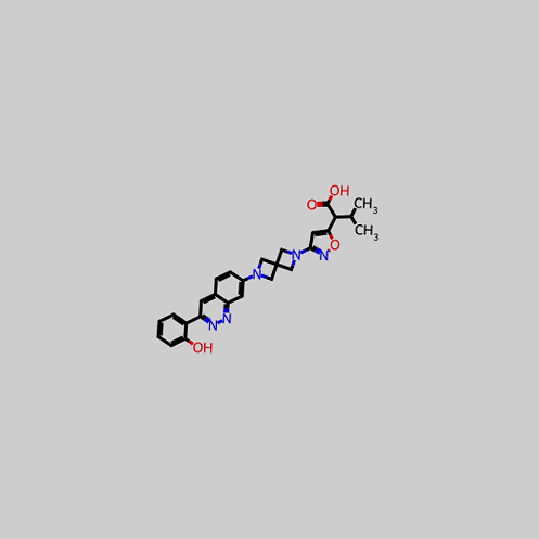 CC(C)C(C(=O)O)c1cc(N2CC3(CN(c4ccc5cc(-c6ccccc6O)nnc5c4)C3)C2)no1